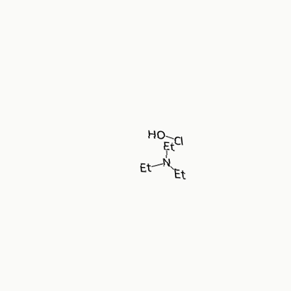 CCN(CC)CC.OCl